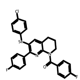 O=C(c1ccc(F)cc1)N1CCCc2cc([Se]c3ccc(Cl)cc3)c(-c3ccc(F)cc3)nc21